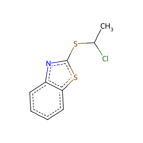 CC(Cl)Sc1nc2ccccc2s1